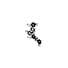 Cc1ccc(Cl)cc1N1CCN(C(=O)C2CNCCN2c2ccc(S(=O)(=O)c3cccc(Cl)c3)cc2C)CC1